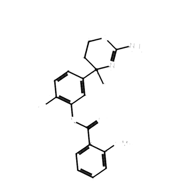 COc1ccccc1C(=O)Nc1cc(C2(C)CCSC(N)=N2)ccc1F